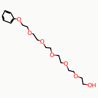 OCCOCCOCCOCCOCCOCCOc1ccccc1